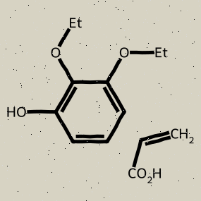 C=CC(=O)O.CCOc1cccc(O)c1OCC